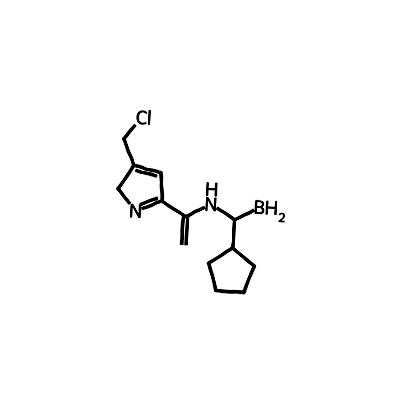 BC(NC(=C)C1=NCC(CCl)=C1)C1CCCC1